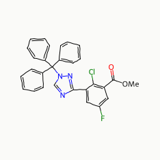 COC(=O)c1cc(F)cc(-c2ncn(C(c3ccccc3)(c3ccccc3)c3ccccc3)n2)c1Cl